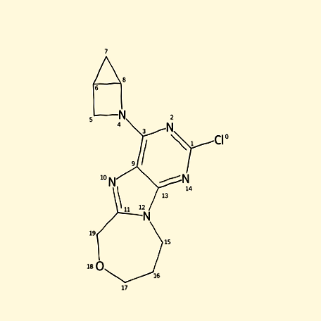 Clc1nc(N2CC3CC32)c2nc3n(c2n1)CCCOC3